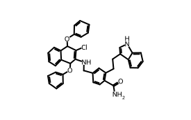 NC(=O)c1ccc(CNC2=C(Cl)C(Oc3ccccc3)c3ccccc3C2Oc2ccccc2)cc1CCc1c[nH]c2ccccc12